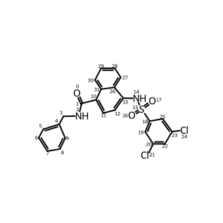 O=C(NCc1ccccc1)c1ccc(NS(=O)(=O)c2cc(Cl)cc(Cl)c2)c2ccccc12